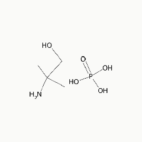 CC(C)(N)CO.O=P(O)(O)O